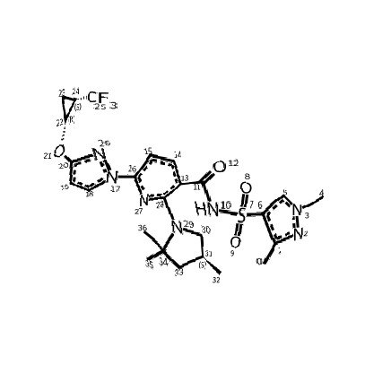 Cc1nn(C)cc1S(=O)(=O)NC(=O)c1ccc(-n2ccc(O[C@@H]3C[C@@H]3C(F)(F)F)n2)nc1N1C[C@@H](C)CC1(C)C